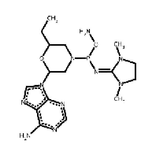 CCC1CN(P(N=C2N(C)CCN2C)ON)CC(n2cnc3c(N)ncnc32)O1